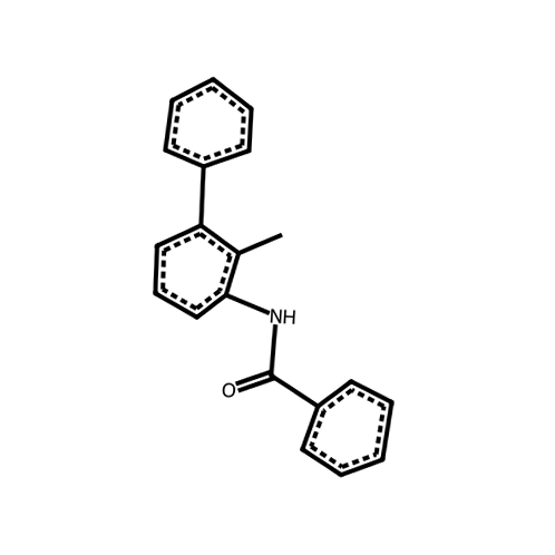 Cc1c(NC(=O)c2ccccc2)cccc1-c1ccccc1